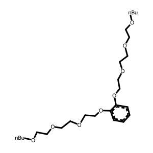 CCCCOCCOCCOCCOc1ccccc1OCCOCCOCCOCCCC